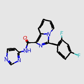 O=C(Nc1ccncn1)c1nc(-c2ccc(F)cc2F)n2ccccc12